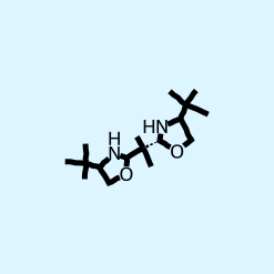 CC(C)(C)C1COC(C(C)(C)[C@@H]2NC(C(C)(C)C)CO2)N1